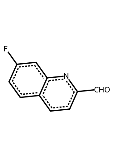 O=Cc1ccc2ccc(F)cc2n1